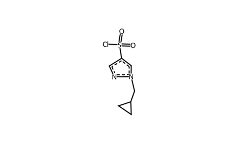 O=S(=O)(Cl)c1cnn(CC2CC2)c1